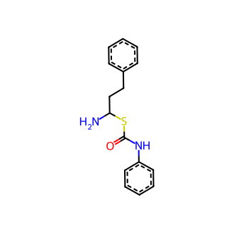 NC(CCc1ccccc1)SC(=O)Nc1ccccc1